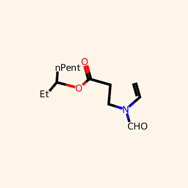 C=CN(C=O)CCC(=O)OC(CC)CCCCC